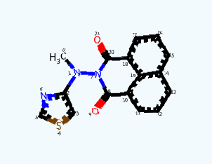 CN(c1cscn1)N1C(=O)c2cccc3cccc(c23)C1=O